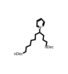 CCCCCCCCCCCCCCCCC(CCCCCCCCCCCCC)[n+]1ccccc1